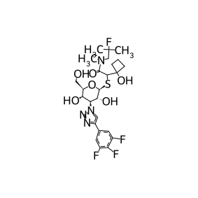 CN(CC(C)(C)F)C(=O)C(S[C@@H]1O[C@H](CO)[C@H](O)[C@H](n2cc(-c3cc(F)c(F)c(F)c3)nn2)[C@H]1O)C1(O)CCC1